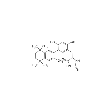 Cc1cc2c(cc1-c1cc(CC3NC(=O)NC3=O)c(O)cc1O)C(C)(C)CCC2(C)C